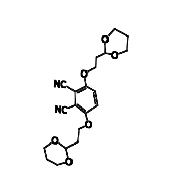 N#Cc1c(OCCC2OCCCO2)ccc(OCCC2OCCCO2)c1C#N